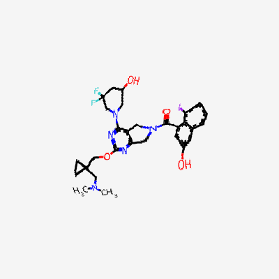 CN(C)CC1(COc2nc3c(c(N4CC(O)CC(F)(F)C4)n2)CN(C(=O)c2cc(O)cc4cccc(I)c24)C3)CC1